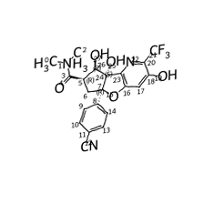 CN(C)C(=O)[C@@H]1C[C@]2(c3ccc(C#N)cc3)Oc3cc(O)c(C(F)(F)F)nc3[C@]2(O)[C@@H]1O